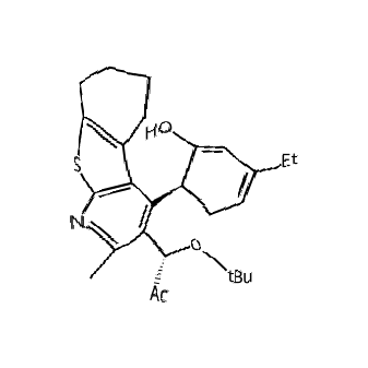 CCC1=CC[C@@H](c2c([C@H](OC(C)(C)C)C(C)=O)c(C)nc3sc4c(c23)CCCC4)C(O)=C1